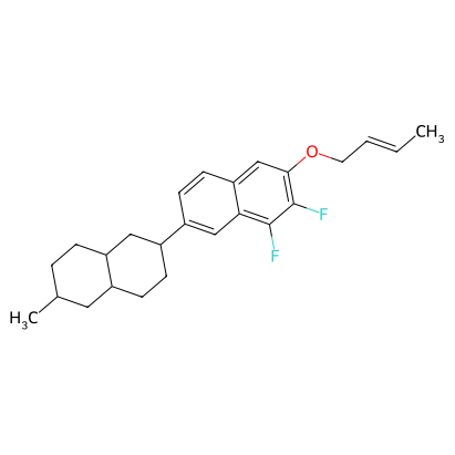 CC=CCOc1cc2ccc(C3CCC4CC(C)CCC4C3)cc2c(F)c1F